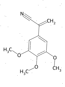 C=C(C#N)c1cc(OC)c(OC)c(OC)c1